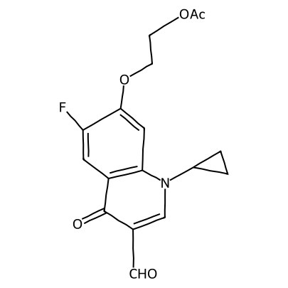 CC(=O)OCCOc1cc2c(cc1F)c(=O)c(C=O)cn2C1CC1